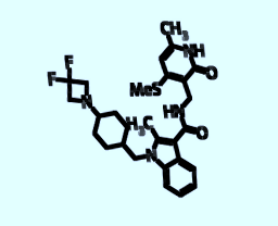 CSc1cc(C)[nH]c(=O)c1CNC(=O)c1c(C)n(CC2CCC(N3CC(F)(F)C3)CC2)c2ccccc12